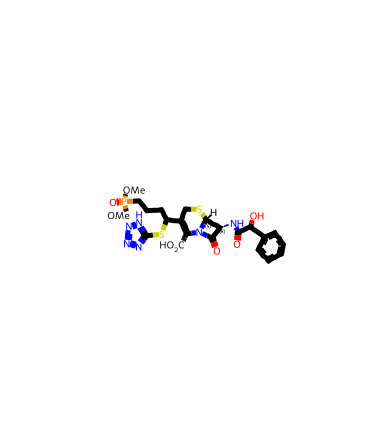 COP(=O)(CCCC(Sc1nnn[nH]1)C1=C(C(=O)O)N2C(=O)[C@@H](NC(=O)C(O)c3ccccc3)[C@@H]2SC1)OC